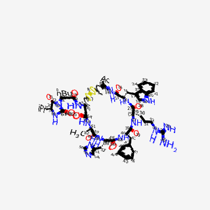 CCCC[C@@H](C(=O)N[C@H]1CSSC[C@@H](C(C)=O)NC(=O)[C@H](Cc2c[nH]c3ccccc23)NC(=O)[C@H](CCCNC(=N)N)NC(=O)[C@@H](Cc2ccccc2)NC(=O)[C@H](Cc2cnc[nH]2)NC(=O)[C@@H](C)NC1=O)N1C(=O)N[C@@H](C(C)C)C1=O